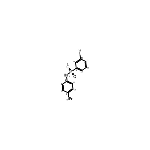 CC(C)c1ccc(NS(=O)(=O)c2cccc(F)c2)cc1